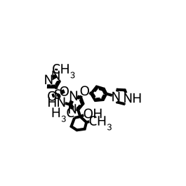 CC1CCCC(C)C1(O)c1cc(Oc2ccc(N3CCNCC3)cc2)nc(NS(=O)(=O)c2cnn(C)c2)n1